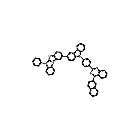 c1ccc(-n2c3ccccc3n3c4cc(-c5ccc6c(c5)c5ccccc5n6-c5ccc(-c6nc(-c7ccc8ccccc8c7)c7ccccc7n6)cc5)ccc4nc23)cc1